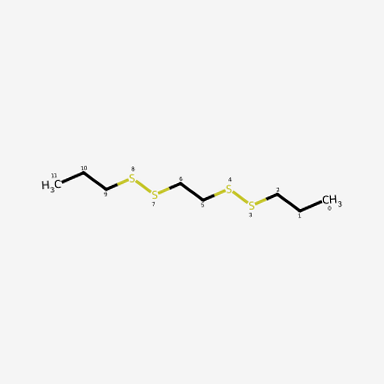 CCCSSCCSSCCC